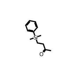 CC(=O)CC[Si](C)(C)c1ccccc1